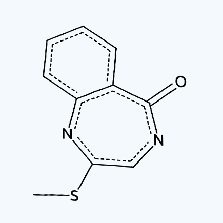 CSc1cnc(=O)c2ccccc2n1